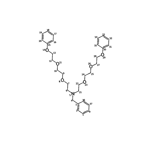 c1ccc(CN(CCOCCOCCOc2ccccc2)CCOCCOCCOc2ccccc2)cc1